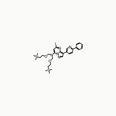 C[Si](C)(C)CCOCN(COCC[Si](C)(C)C)c1cc(I)nc2c(-c3ccc(-c4ccccc4)nc3)cnn12